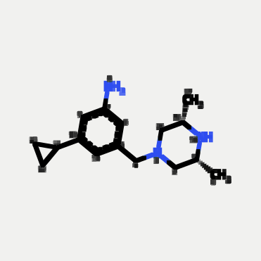 C[C@@H]1CN(Cc2cc(N)cc(C3CC3)c2)C[C@H](C)N1